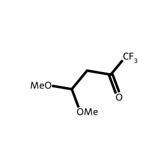 COC(CC(=O)C(F)(F)F)OC